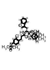 CC1(C)[C@@H]2C[C@H]3OB([C@H](Cc4coc5ccccc45)NC(=O)CCc4ccc(N=S(C)(C)=O)cc4Cl)O[C@@]3(C)[C@H]1C2